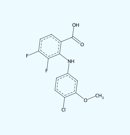 COc1cc(Nc2c(C(=O)O)ccc(F)c2F)ccc1Cl